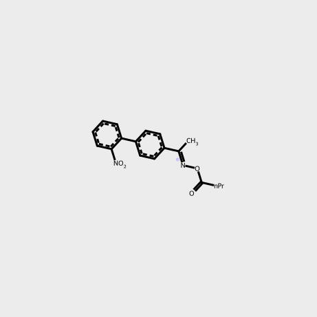 CCCC(=O)O/N=C(\C)c1ccc(-c2ccccc2[N+](=O)[O-])cc1